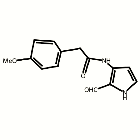 COc1ccc(CC(=O)Nc2cc[nH]c2C=O)cc1